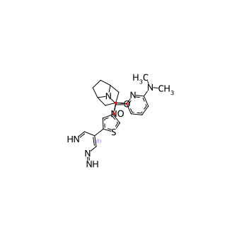 CN(C)c1cccc(C2(N=O)CC3CCC(C2)N3C(=O)c2csc(/C(C=N)=C/N=N)c2)n1